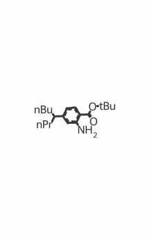 CCCCC(CCC)c1ccc(C(=O)OC(C)(C)C)c(N)c1